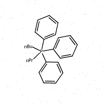 CCCCP(CCC)(c1ccccc1)(c1ccccc1)c1ccccc1